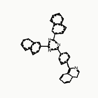 C1=CC2=C(c3ccc(-c4nc(-c5ccc6ccccc6c5)nc(-c5ccc6ccccc6c5)n4)cc3)N=CCC2C=C1